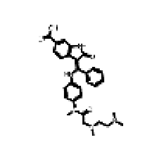 CN(C)CCN(C)CC(=O)N(C)c1ccc(NC(=C2C(=O)Nc3cc(C(=O)O)ccc32)c2ccccc2)cc1